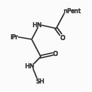 CCCCCC(=O)NC(C(=O)NS)C(C)C